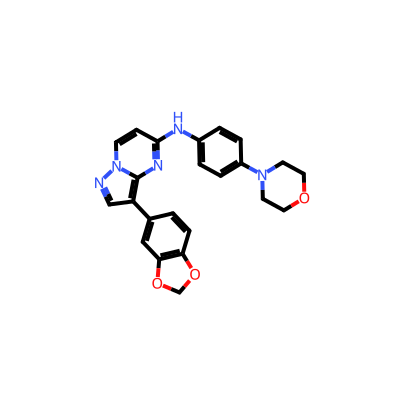 c1cc(N2CCOCC2)ccc1Nc1ccn2ncc(-c3ccc4c(c3)OCO4)c2n1